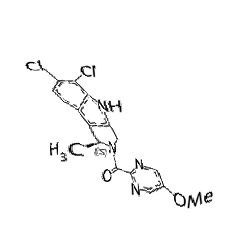 COc1cnc(C(=O)N2Cc3[nH]c4c(Cl)c(Cl)ccc4c3[C@@H]2C)nc1